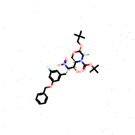 C[C@H]1[C@H](OCC(C)(C)C)OC[C@H]([C@@H](O)[C@H](Cc2cc(F)cc(OCc3ccccc3)c2)[N+](=O)[O-])N1C(=O)OC(C)(C)C